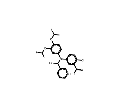 O=C(O)c1cc(N(c2ccc(OC(F)F)c(OC(F)F)c2)C(O)c2cccnc2)ccc1Cl